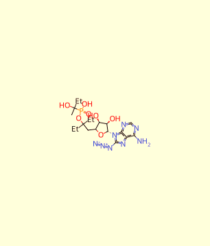 CCC(CC)(CC1O[C@@H](n2c(N=[N+]=[N-])nc3c(N)ncnc32)[C@H](O)[C@@H]1O)OP(=O)(O)C(C)(O)CC